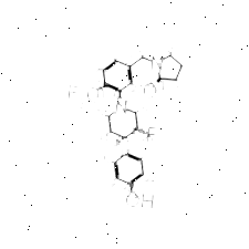 O=C1CCCN1Cc1ccc(C(F)(F)F)c(N2CC[C@@H](c3ccc(O)cc3)[C@H](F)C2)c1